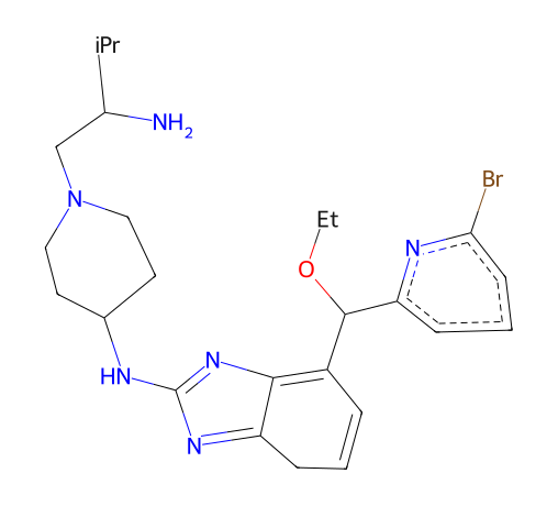 CCOC(C1=C2N=C(NC3CCN(CC(N)C(C)C)CC3)N=C2CC=C1)c1cccc(Br)n1